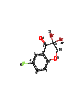 O=C1c2cc(F)ccc2OCC1(Br)Br